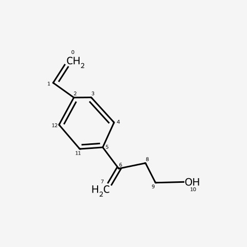 C=Cc1ccc(C(=C)CCO)cc1